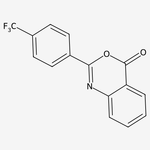 O=c1oc(-c2ccc(C(F)(F)F)cc2)nc2ccccc12